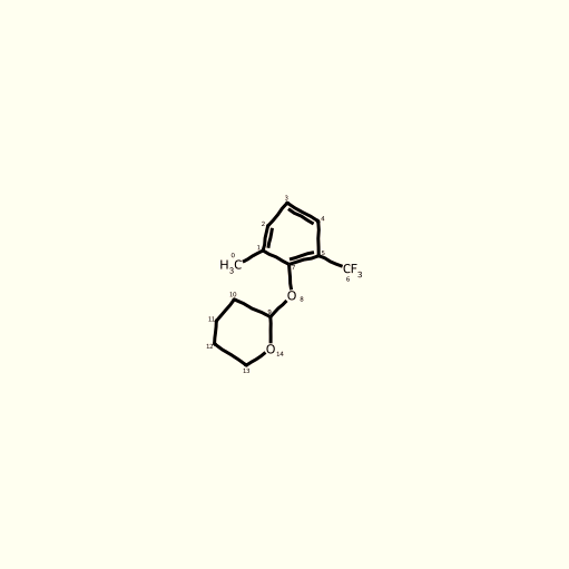 Cc1cccc(C(F)(F)F)c1OC1CCCCO1